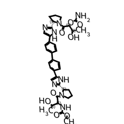 COC(=O)N[C@H](C(=O)N1CCC[C@H]1c1ncc(-c2ccc(-c3ccc(-c4cnc([C@@H]5CCCN5C(=O)[C@@H](OC(N)=O)[C@@H](C)O)[nH]4)cc3)cc2)[nH]1)[C@@H](C)O